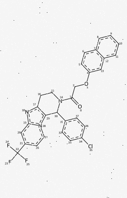 O=C(COc1ccc2ccccc2c1)N1CCc2nc3cc(C(F)(F)F)ccn3c2C1c1ccc(Cl)cc1